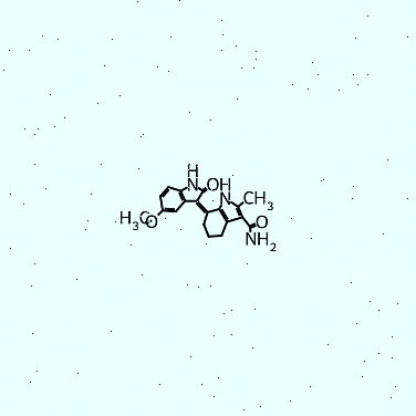 COc1ccc2c(c1)/C(=C1\CCCc3c1[nH]c(C)c3C(N)=O)C(=O)N2